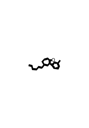 C=C/C=C\C=C\C1=Cc2c(oc3c(C)cccc23)C=CC1